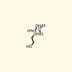 CCCCCCO.CCOCC.OCCO